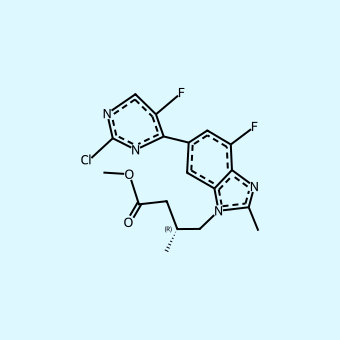 COC(=O)C[C@@H](C)Cn1c(C)nc2c(F)cc(-c3nc(Cl)ncc3F)cc21